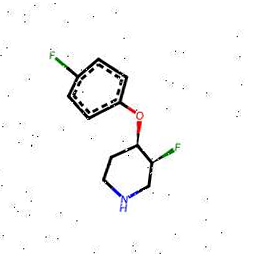 Fc1ccc(O[C@@H]2CCNC[C@@H]2F)cc1